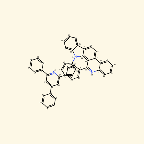 c1ccc(-c2cc(-c3ccccc3)nc(-c3ccc(-c4nc5ccccc5c5ccc6c7ccccc7n(-c7ccccc7)c6c45)cc3)c2)cc1